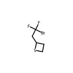 FC(F)(Br)CC1CCS1